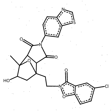 CC12OC(CCn3oc4ccc(Cl)cc4c3=O)(CC1O)C1C(=O)N(c3ccc4ncsc4c3)C(=O)C12